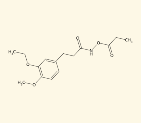 CCOc1cc(CCC(=O)NOC(=O)CC)ccc1OC